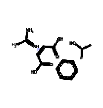 CC(C)O.N=C(N)N.O=C(O)/C=C\C(=O)O.c1ccccc1